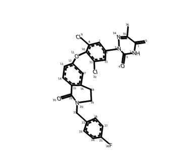 C=C1NC(=O)N(c2cc(Cl)c(Oc3ccc4c(c3)CCN(Cc3ccc(F)cc3)C4=O)c(Cl)c2)N=C1C